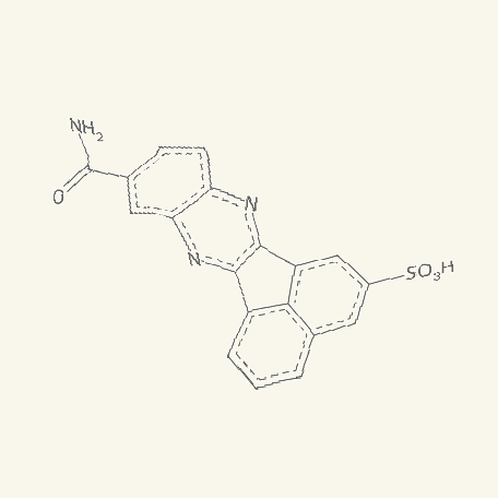 NC(=O)c1ccc2nc3c(nc2c1)-c1cccc2cc(S(=O)(=O)O)cc-3c12